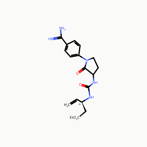 C=C[C@H](CC(=O)OCC)NC(=O)NC1CCN(c2ccc(C(=N)N)cc2)C1=O